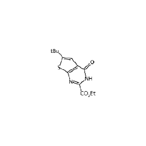 CCOC(=O)c1nc2sc(C(C)(C)C)cc2c(=O)[nH]1